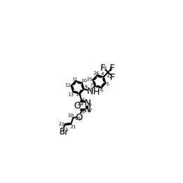 FC(F)(F)c1ccc(Nc2ccccc2-c2nnc(OC/C=C/Br)o2)cc1